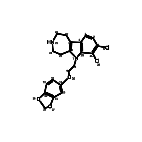 Clc1ccc2c3c(n(CCOc4ccc5c(c4)OCO5)c2c1Cl)CCNCC3